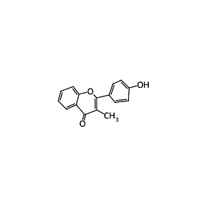 Cc1c(-c2ccc(O)cc2)oc2ccccc2c1=O